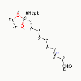 CCCCCCCC1(CCCCCC/C=C/CC=O)OCCO1